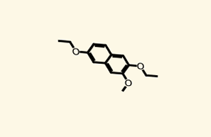 CCOc1ccc2cc(OCC)c(OC)cc2c1